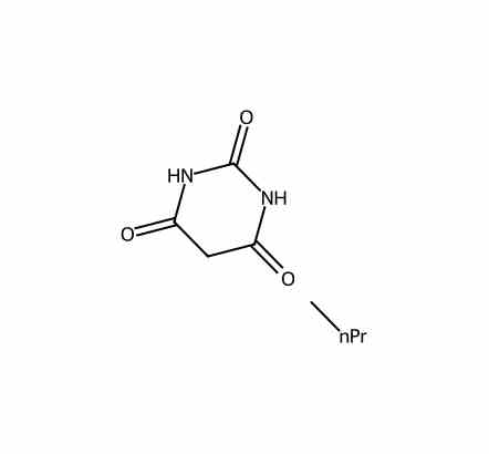 CCCC.O=C1CC(=O)NC(=O)N1